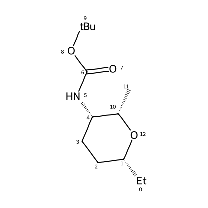 CC[C@@H]1CC[C@H](NC(=O)OC(C)(C)C)[C@H](C)O1